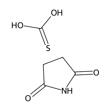 O=C1CCC(=O)N1.OC(O)=S